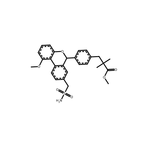 COC(=O)C(C)(C)Cc1ccc(C2Oc3cccc(OC)c3-c3ccc(CS(N)(=O)=O)cc32)cc1